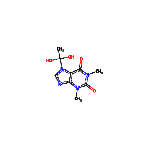 Cn1c(=O)c2c(ncn2C(C)(O)O)n(C)c1=O